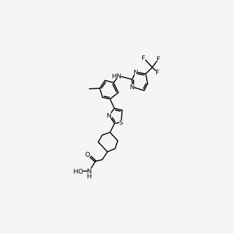 Cc1cc(Nc2nccc(C(F)(F)F)n2)cc(-c2csc(C3CCC(CC(=O)NO)CC3)n2)c1